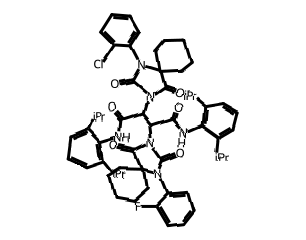 CC(C)c1cccc(C(C)C)c1NC(=O)C(C(C(=O)Nc1c(C(C)C)cccc1C(C)C)N1C(=O)N(c2ccccc2Cl)C2(CCCCC2)C1=O)N1C(=O)N(c2ccccc2F)C2(CCCCC2)C1=O